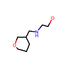 [O]CCNCC1CCCOC1